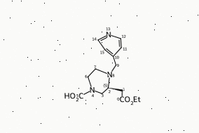 CCOC(=O)C[C@H]1CN(C(=O)O)CCN1Cc1ccncc1